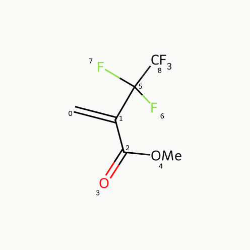 C=C(C(=O)OC)C(F)(F)C(F)(F)F